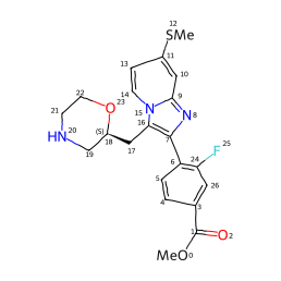 COC(=O)c1ccc(-c2nc3cc(SC)ccn3c2C[C@H]2CNCCO2)c(F)c1